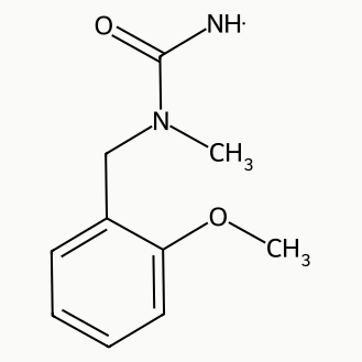 COc1ccccc1CN(C)C([NH])=O